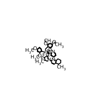 COc1ccc(CN(Cc2ccc(OC)cc2OC)S(=O)(=O)c2cc(N3C4=C(C=CC3N3CCC(F)(F)C(C)C3)C(C)CCC4)ccn2)c(OC)c1